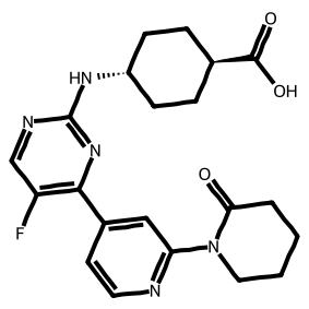 O=C1CCCCN1c1cc(-c2nc(N[C@H]3CC[C@H](C(=O)O)CC3)ncc2F)ccn1